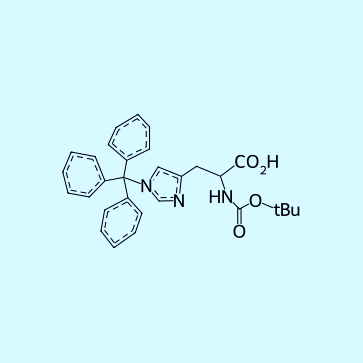 CC(C)(C)OC(=O)NC(Cc1cn(C(c2ccccc2)(c2ccccc2)c2ccccc2)cn1)C(=O)O